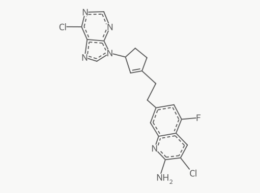 Nc1nc2cc(CCC3=CC(n4cnc5c(Cl)ncnc54)CC3)cc(F)c2cc1Cl